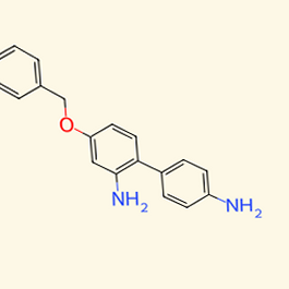 Nc1ccc(-c2ccc(OCc3ccccc3)cc2N)cc1